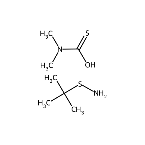 CC(C)(C)SN.CN(C)C(O)=S